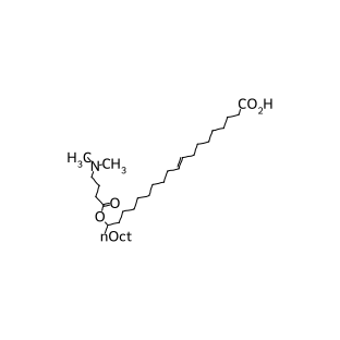 CCCCCCCCC(CCCCCCCCC=CCCCCCCCC(=O)O)OC(=O)CCCN(C)C